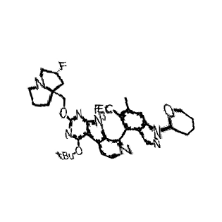 CCn1c2nc(OC[C@@]34CCCN3C[C@H](F)C4)nc(OC(C)(C)C)c2c2ccnc(-c3c(C(F)(F)F)c(C)cc4c3cnn4C3CCCCO3)c21